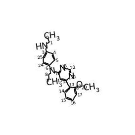 CCNc1ccc(N(CC)c2cc(-c3ccccc3OC)ncn2)cc1